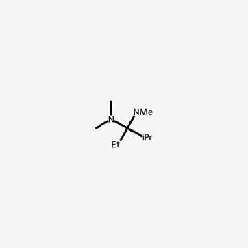 CCC(NC)(C(C)C)N(C)C